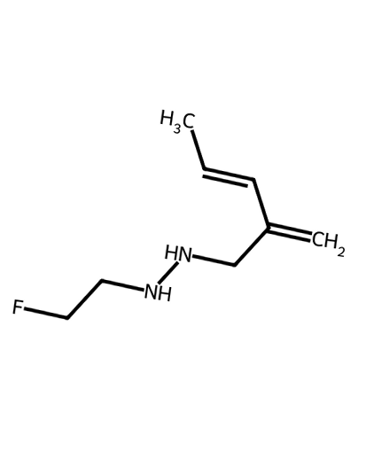 C=C(C=CC)CNNCCF